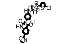 O=C(Nc1ccc(-n2c(=O)[nH]c3cc(C4=NCCO4)ccc3c2=O)c(Cl)c1)NS(=O)(=O)c1ccc(Cl)s1